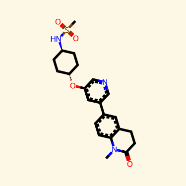 CN1C(=O)CCc2cc(-c3cncc(O[C@H]4CC[C@H](NS(C)(=O)=O)CC4)c3)ccc21